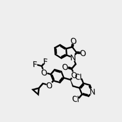 O=C(CN1C(=O)C(=O)c2ccccc21)O[C@@H](Cc1c(Cl)cncc1Cl)c1ccc(OC(F)F)c(OCC2CC2)c1